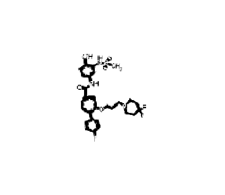 CS(=O)(=O)Nc1cc(NC(=O)c2ccc(-c3ccc(F)cc3)c(OCCCN3CCC(F)(F)CC3)c2)ccc1O